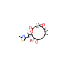 C/C(=C\c1csc(C)n1)[C@@H]1C[C@@H](Br)C(=O)CCC[C@H](C)[C@H](C)[C@@H](C)C(=O)C(C)(C)[C@@H](C)CC(=O)O1